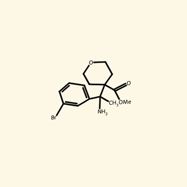 COC(=O)C1(C(C)(N)c2cccc(Br)c2)CCOCC1